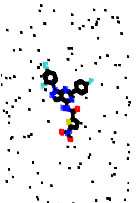 O=C(Nc1nc(-c2ccc(F)cc2)nc2c1cnn2-c1ccc(F)cc1F)c1ccc([N+](=O)[O-])s1